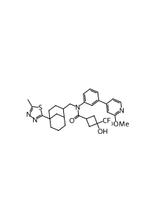 COc1cc(-c2cccc(N(CC3CCC4(c5nnc(C)s5)CCCC3C4)C(=O)C3CC(O)(C(F)(F)F)C3)c2)ccn1